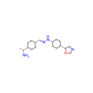 CC(N)c1ccc(/C=N/Nc2ccc(-c3cnco3)cc2)cc1